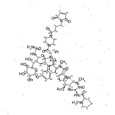 CC[C@H](C)[C@H](NC(=O)[C@H]1CCCCN1C)C(=O)N(C)[C@H](C[C@@H](OC(C)=O)c1nc(C(=O)N(C)[C@@H](Cc2ccc(OC3OC(CO)C(O)C(O)C3O)cc2)C(=O)N[C@@H](CCCNC(N)=O)C(=O)N[C@H](C(=O)N2CCN(C(=O)CCCN3C(=O)C=CC3=O)CC2)C(C)C)cs1)C(C)C